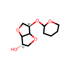 O[C@H]1COC2C1OC[C@H]2OC1CCCCO1